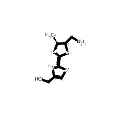 C[C@@H]1S/C(=C2/SC=C(CO)S2)SC1C[N+](=O)[O-]